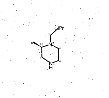 CC(C)CN1CCNC[C@H]1C